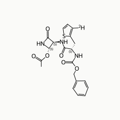 [2H]c1ccsc1C[C@H](NC(=O)OCc1ccccc1)C(=O)N[C@@H]1C(=O)N[C@H]1OC(C)=O